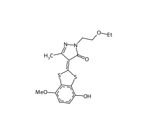 CCOCCN1N=C(C)/C(=C2/Sc3c(O)ccc(OC)c3S2)C1=O